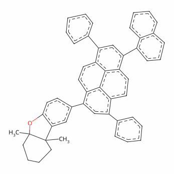 CC12CCCCC1(C)c1cc(-c3cc(-c4ccccc4)c4ccc5c(-c6cccc7ccccc67)cc(-c6ccccc6)c6ccc3c4c65)ccc1O2